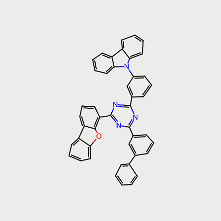 c1ccc(-c2cccc(-c3nc(-c4cccc(-n5c6ccccc6c6ccccc65)c4)nc(-c4cccc5c4oc4ccccc45)n3)c2)cc1